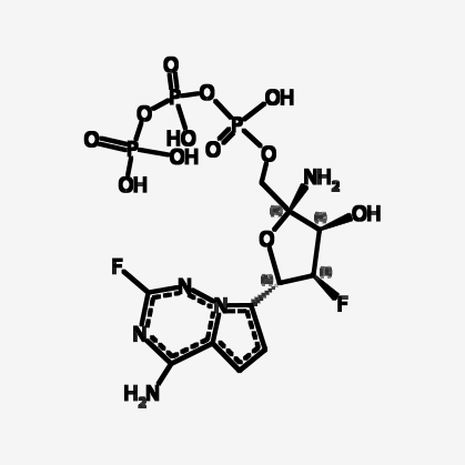 Nc1nc(F)nn2c([C@@H]3O[C@](N)(COP(=O)(O)OP(=O)(O)OP(=O)(O)O)[C@@H](O)[C@H]3F)ccc12